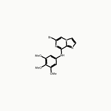 COc1cc(Nc2nc(Br)cn3ccnc23)cc(OC)c1OC